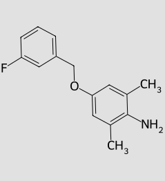 Cc1cc(OCc2cccc(F)c2)cc(C)c1N